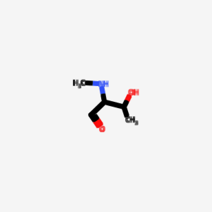 CNC(C=O)C(C)O